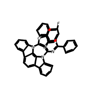 Fc1ccc2nc(-n3c4ccccc4c4ccc5c6ccccc6n(-c6nc(-c7ccccc7)nc(-c7ccccc7)n6)c5c43)oc2c1